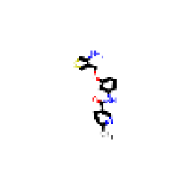 Cc1ccc(C(=O)Nc2cccc(OCc3cscc3N)c2)cn1